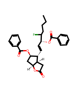 CCCCC(F)[C@@H](/C=C/[C@@H]1[C@H]2CC(=O)O[C@H]2C[C@H]1OC(=O)c1ccccc1)OC(=O)c1ccccc1